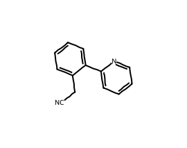 N#CCc1ccccc1-c1ccccn1